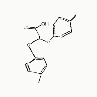 Cc1ccc(OC(Oc2ccc(C)cc2)C(=O)O)cc1